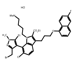 CCOC(=O)c1c(CCCOc2cccc3cc(F)ccc23)c2ccc(Cl)c(-c3c(CBr)nn(C)c3CC)c2n1CCCCNC.Cl